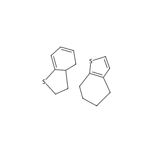 C1=CCC2CCSC2=C1.c1cc2c(s1)CCCC2